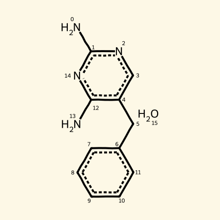 Nc1ncc(Cc2ccccc2)c(N)n1.O